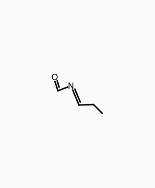 CC/C=N/C=O